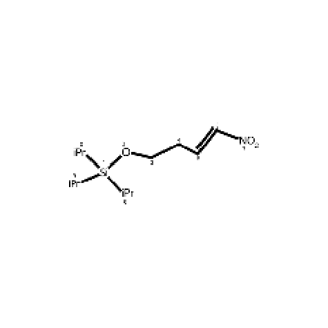 CC(C)[Si](OCCC=C[N+](=O)[O-])(C(C)C)C(C)C